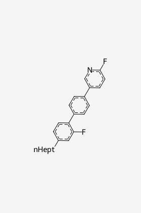 CCCCCCCc1ccc(-c2ccc(-c3ccc(F)nc3)cc2)c(F)c1